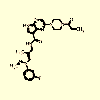 C=CC(=O)N1CCN(c2cnc3[nH]cc(C(=O)NC/C(C)=C/N(N=C)c4cccc(F)c4)c3n2)CC1